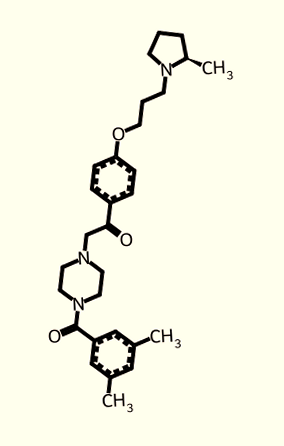 Cc1cc(C)cc(C(=O)N2CCN(CC(=O)c3ccc(OCCCN4CCC[C@H]4C)cc3)CC2)c1